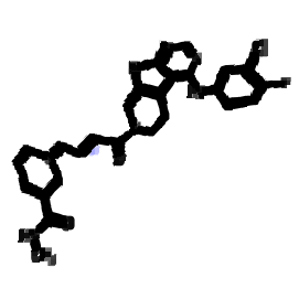 CNC(=O)C1CCCN(C/C=C/C(=O)N2CCc3c(sc4ncnc(Nc5ccc(F)c(Cl)c5)c34)C2)C1